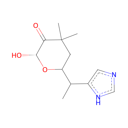 CC(c1cnc[nH]1)C1CC(C)(C)C(=O)[C@@H](O)O1